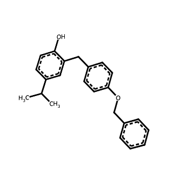 CC(C)c1ccc(O)c(Cc2ccc(OCc3ccccc3)cc2)c1